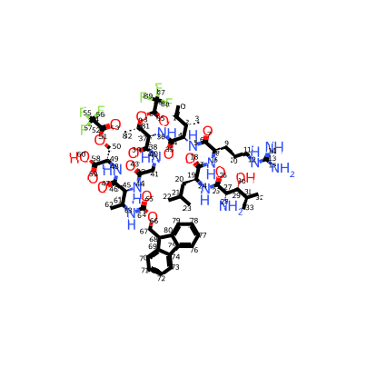 CC[C@H](C)[C@H](NC(=O)[C@@H](CCCNC(=N)N)NC(=O)[C@H](CC(C)C)NC(=O)[C@@H](N)[C@H](O)C(C)C)C(=O)N[C@H](C(=O)NCC(=O)N[C@H](C(=O)N[C@@H](COC(=O)C(F)(F)F)C(=O)O)C(C)NC(=O)OCC1c2ccccc2-c2ccccc21)[C@H](C)OC(=O)C(F)(F)F